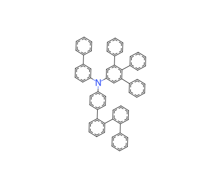 c1ccc(-c2cccc(N(c3ccc(-c4ccccc4-c4ccccc4-c4ccccc4)cc3)c3cc(-c4ccccc4)c(-c4ccccc4)c(-c4ccccc4)c3)c2)cc1